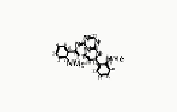 CNc1ccccc1C1=CC2=CC(c3ccccc3NC)=NC3=NC=NC(=N1)N23